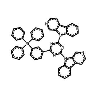 c1ccc([Si](c2ccccc2)(c2ccccc2)c2cccc(-c3nc(-n4c5ccccc5c5ccncc54)nc(-n4c5ccccc5c5ccncc54)n3)c2)cc1